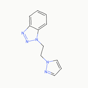 c1ccc2c(c1)nnn2CCn1cccn1